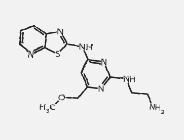 COCc1cc(Nc2nc3cccnc3s2)nc(NCCN)n1